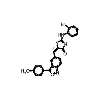 Cc1ccc(-c2onc3ccc(/C=C4/SC(Nc5ccccc5Br)=NC4=O)cc23)cc1